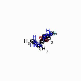 Cc1cc(Nc2cc(C)[nH]n2)nc(C2CCC(NC=O)(C(=O)N(C)C(C)C3=CNC(n4cc(F)cn4)C=C3)CC2)n1